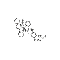 COc1cc(CC(=O)NN(c2ccccc2N2CCCCC2)c2ccccc2S(=O)(=O)c2ccccc2)c(Br)cc1C(=O)O